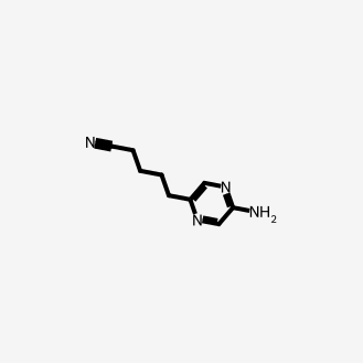 N#CCCCCc1cnc(N)cn1